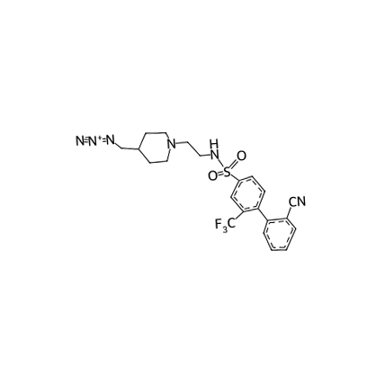 N#Cc1ccccc1-c1ccc(S(=O)(=O)NCCN2CCC(CN=[N+]=[N-])CC2)cc1C(F)(F)F